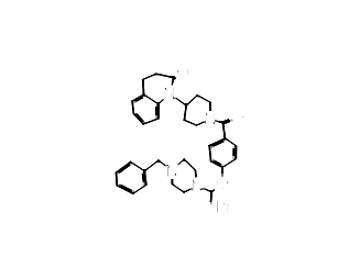 CCCC(Oc1ccc(C(=O)N2CCC(N3C(=O)CCc4ccccc43)CC2)cc1)N1CCN(Cc2ccccc2)CC1